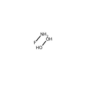 NF.OO